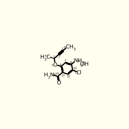 CC#C[C@H](C)Oc1cc(N)c(Cl)cc1C(N)=O.Cl